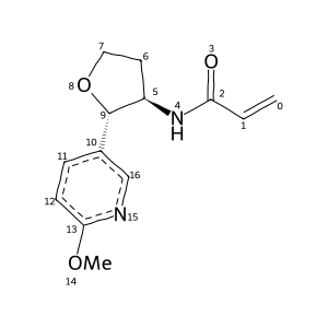 C=CC(=O)N[C@@H]1CCO[C@H]1c1ccc(OC)nc1